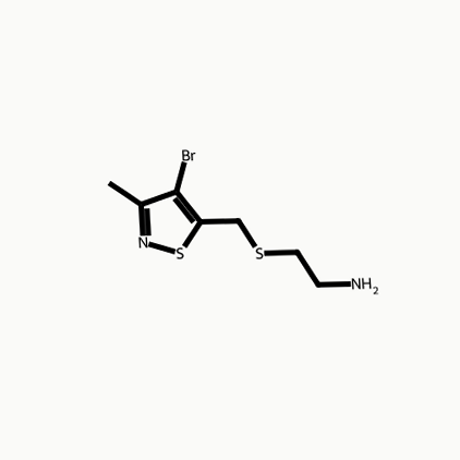 Cc1nsc(CSCCN)c1Br